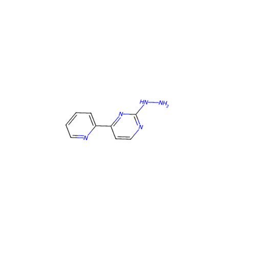 NNc1nccc(-c2ccccn2)n1